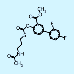 COC(=O)c1cc(-c2ccc(F)cc2F)ccc1OC(=O)SCCCNC(C)=O